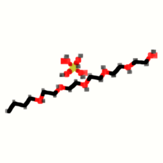 CCCCOCCOCCOCCOCCOCCO.O=S(=O)(O)O